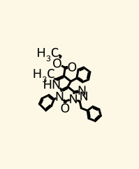 CCOC(=O)C1=C(C)Nc2c(c3nnc(Cc4ccccc4)n3c(=O)n2-c2ccccc2)C1c1ccccc1